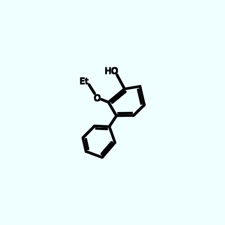 CCOc1c(O)cccc1-c1ccccc1